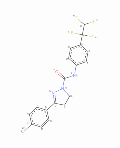 O=C(Nc1ccc(C(F)(F)C(F)F)cc1)N1CCC(c2ccc(Cl)cc2)=N1